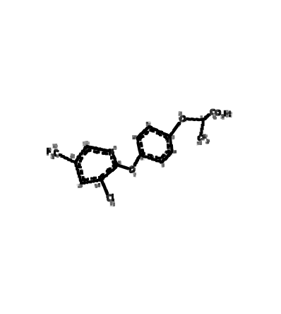 CCOC(=O)C(Oc1ccc(Oc2ncc(C(F)(F)F)cc2Cl)cc1)C(F)(F)F